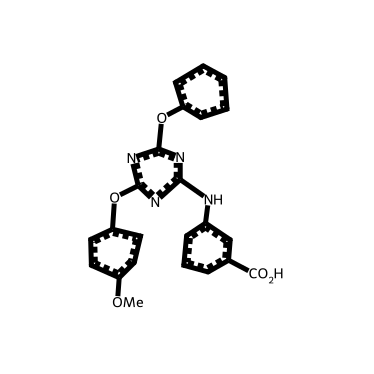 COc1ccc(Oc2nc(Nc3cccc(C(=O)O)c3)nc(Oc3ccccc3)n2)cc1